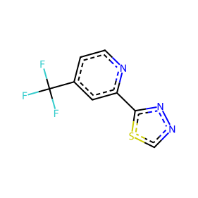 FC(F)(F)c1ccnc(-c2nncs2)c1